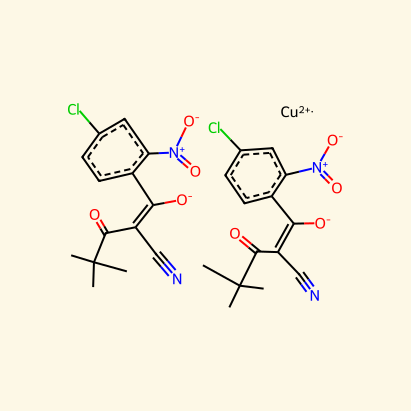 CC(C)(C)C(=O)C(C#N)=C([O-])c1ccc(Cl)cc1[N+](=O)[O-].CC(C)(C)C(=O)C(C#N)=C([O-])c1ccc(Cl)cc1[N+](=O)[O-].[Cu+2]